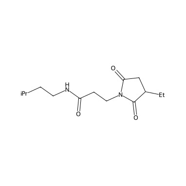 CCC1CC(=O)N(CCC(=O)NCCC(C)C)C1=O